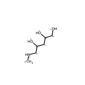 CNCC(O)CC(O)CO